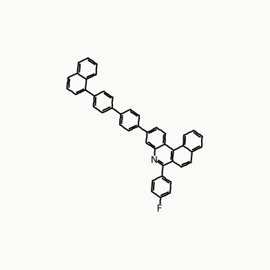 Fc1ccc(-c2nc3cc(-c4ccc(-c5ccc(-c6cccc7ccccc67)cc5)cc4)ccc3c3c2ccc2ccccc23)cc1